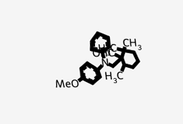 COc1ccc(N(CC2(C=O)C(C)CCCC2(C)C)c2ccccc2)cc1